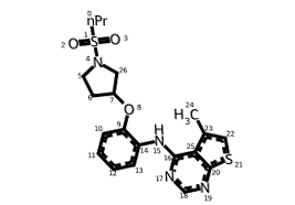 CCCS(=O)(=O)N1CCC(Oc2ccccc2Nc2ncnc3scc(C)c23)C1